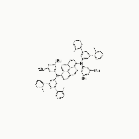 Cc1ccccc1-c1cc(-c2ccccc2C)cc(N(c2cc(C(C)(C)C)cc(C(C)(C)C)c2)c2ccc3ccc4c(N(c5cc(-c6ccccc6C)cc(-c6ccccc6C)c5)c5cc(C(C)(C)C)cc(C(C)(C)C)c5)ccc5ccc2c3c54)c1